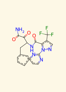 NC(=O)C(=O)C(Cc1ccccc1)NC(=O)c1c(C(F)(F)F)cnn1-c1ncccn1